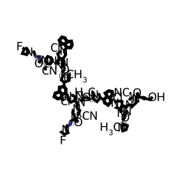 CN1CCC[C@H]1COc1nc2c(c(N3CCN(C(=O)C#CCO)[C@@H](CC#N)C3)n1)CCN(c1ccc(C3C[C@@H](COc4nc5c(c(N6CCN(C(=O)/C=C/CN7CC(F)C7)[C@@H](CC#N)C6)n4)CCN(c4cc(C6C[C@@H](COc7nc8c(c(N9CCN(C(=O)/C=C/CN%10CCC(F)C%10)[C@@H](CC#N)C9)n7)CCN(c7cccc9cccc(Cl)c79)C8)N(C)C6)cc6cccc(Cl)c46)C5)N(C)C3)c3cccc(Cl)c13)C2